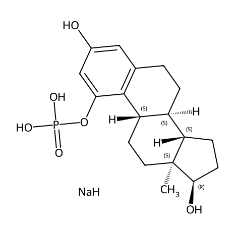 C[C@]12CC[C@@H]3c4c(cc(O)cc4OP(=O)(O)O)CC[C@H]3[C@@H]1CC[C@H]2O.[NaH]